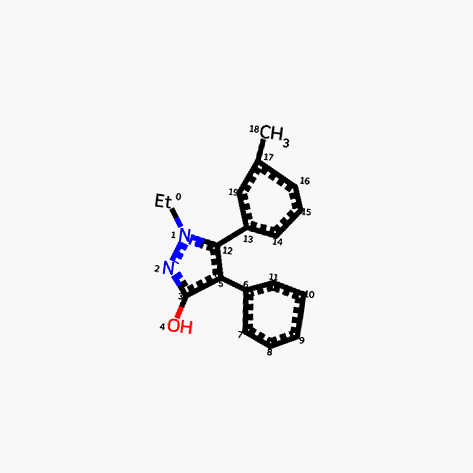 CCn1nc(O)c(-c2ccccc2)c1-c1cccc(C)c1